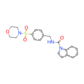 O=C(NCc1ccc(S(=O)(=O)N2CCOCC2)cc1)n1ccc2ccccc21